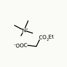 CCOC(=O)CC(=O)[O-].C[N+](C)(C)C